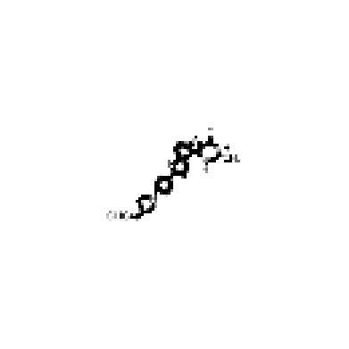 C[C@@H]1CNc2c(sc3ccc4nc(-c5ccc(N6CCC(CC=O)CC6)cc5)ccc4c23)C(=O)N1